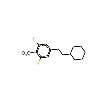 O=C(O)c1c(F)cc(CCC2CCCCC2)cc1F